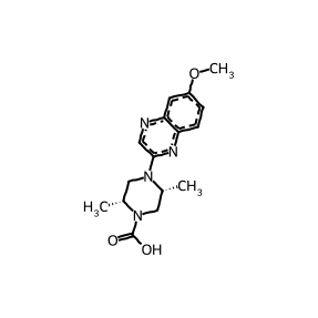 COc1ccc2nc(N3C[C@@H](C)N(C(=O)O)C[C@H]3C)cnc2c1